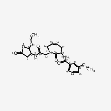 CCOC1OC(=O)CC1NC(=O)CN1CC=CCC(NC(=O)c2cccc(OC)c2)C1=O